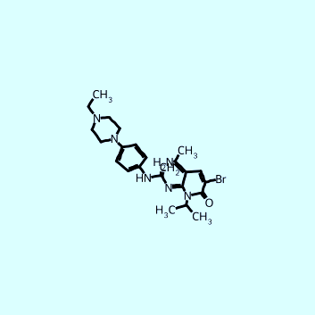 C=C(/N=C1\C(=C(\C)N)C=C(Br)C(=O)N1C(C)C)Nc1ccc(N2CCN(CC)CC2)cc1